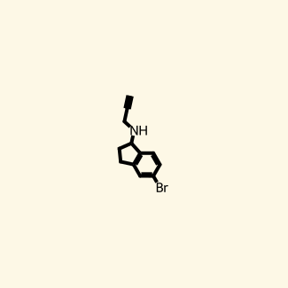 C#CCNC1CCc2cc(Br)ccc21